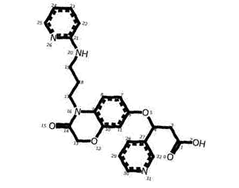 O=C(O)CC(Oc1ccc2c(c1)OCC(=O)N2CCCNc1ccccn1)c1cccnc1